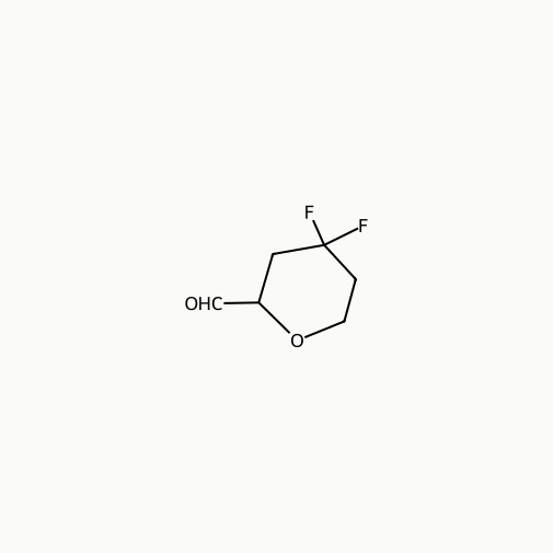 O=CC1CC(F)(F)CCO1